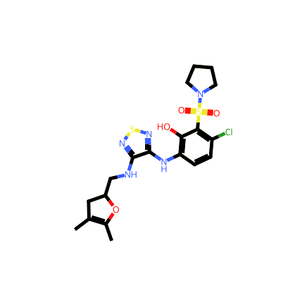 CC1=C(C)OC(CNc2nsnc2Nc2ccc(Cl)c(S(=O)(=O)N3CCCC3)c2O)C1